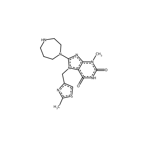 Cc1nc(Cn2c(N3CCCNCC3)nc3c2c(=O)[nH]c(=O)n3C)cs1